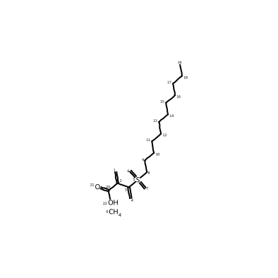 C.C=C(C(=C)S(=C)(=C)CCCCCCCCCCCC)C(=O)O